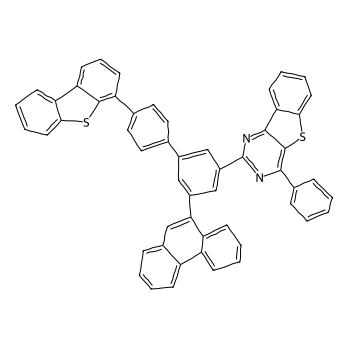 c1ccc(-c2nc(-c3cc(-c4ccc(-c5cccc6c5sc5ccccc56)cc4)cc(-c4cc5ccccc5c5ccccc45)c3)nc3c2sc2ccccc23)cc1